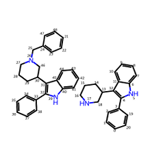 c1ccc(-c2[nH]c3ccccc3c2C2CCCNC2)cc1.c1ccc(CN2CCCC(c3c(-c4ccccc4)[nH]c4ccccc34)C2)cc1